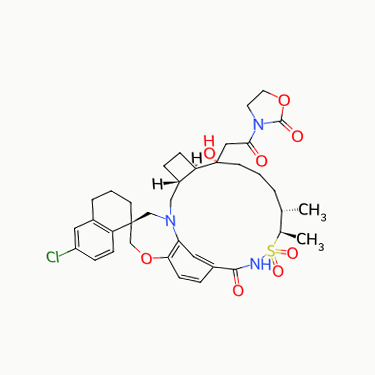 C[C@@H]1[C@@H](C)CCC[C@](O)(CC(=O)N2CCOC2=O)[C@@H]2CC[C@H]2CN2C[C@@]3(CCCc4cc(Cl)ccc43)COc3ccc(cc32)C(=O)NS1(=O)=O